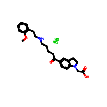 COc1ccccc1CCNCCCCC(=O)c1ccc2c(c1)CCN2CC(=O)O.Cl.Cl